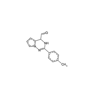 Cc1ccc(C2=Nn3cccc3C(C=O)N2)cc1